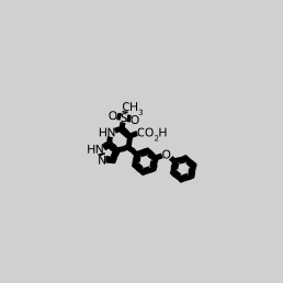 CS(=O)(=O)C1=C(C(=O)O)C(c2cccc(Oc3ccccc3)c2)c2cn[nH]c2N1